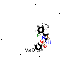 COc1ccc(S(=O)(=O)Nc2nc(-c3cc(C(F)(F)F)ccc3F)cs2)cc1